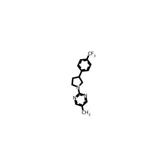 Cc1cnc(N2CCC(c3ccc(C(F)(F)F)cc3)C2)nc1